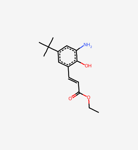 CCOC(=O)/C=C/c1cc(C(C)(C)C)cc(N)c1O